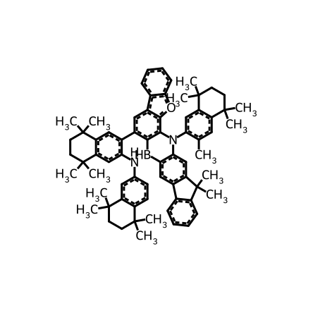 Cc1cc2c(cc1N1c3cc4c(cc3Bc3c(-c5cc6c(cc5Nc5ccc7c(c5)C(C)(C)CCC7(C)C)C(C)(C)CCC6(C)C)cc5c(oc6ccccc65)c31)-c1ccccc1C4(C)C)C(C)(C)CCC2(C)C